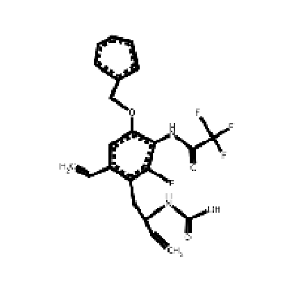 C=Cc1cc(OCc2ccccc2)c(NC(=O)C(F)(F)F)c(F)c1CC(C=C)NC(=O)O